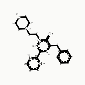 O=c1c(Cc2ccccc2)nc(-c2ncccn2)nn1CCN1CCOCC1